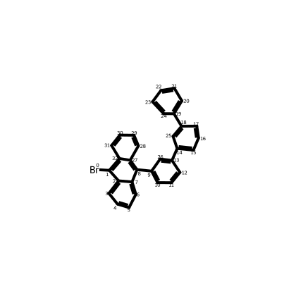 Brc1c2ccccc2c(-c2cccc(-c3cccc(-c4ccccc4)c3)c2)c2ccccc12